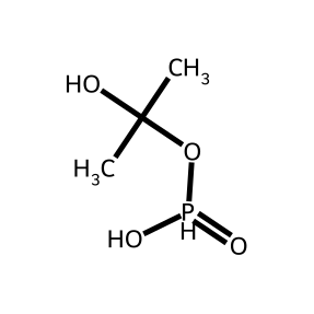 CC(C)(O)O[PH](=O)O